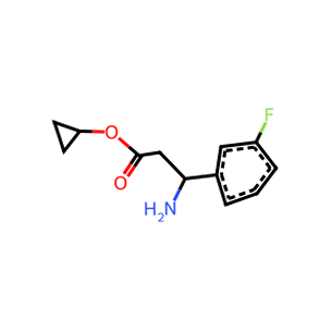 NC(CC(=O)OC1CC1)c1cccc(F)c1